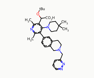 Cc1nc(C)c(C(OC(C)(C)C)C(=O)O)c(N2CCC(C)(C)CC2)c1-c1ccc2c(c1)CCN(Cc1cccnn1)C2